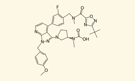 COc1ccc(Cn2nc(N3CC[C@@H](N(C)C(=O)O)C3)c3c(-c4ccc(CN(C)C(=O)c5nc(C(C)(C)C)no5)c(F)c4)ccnc32)cc1